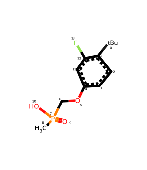 CC(C)(C)c1ccc(OCP(C)(=O)O)cc1F